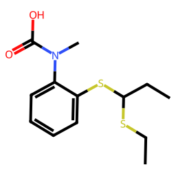 CCSC(CC)Sc1ccccc1N(C)C(=O)O